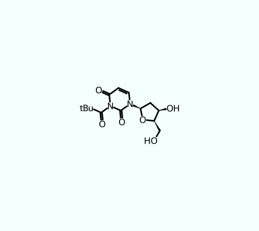 CC(C)(C)C(=O)n1c(=O)ccn([C@H]2C[C@@H](O)[C@@H](CO)O2)c1=O